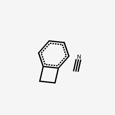 C#N.c1ccc2c(c1)CC2